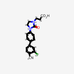 N#Cc1ccc(-c2ccc(N3CCN(CCC(=O)O)C3=O)cc2)cc1F